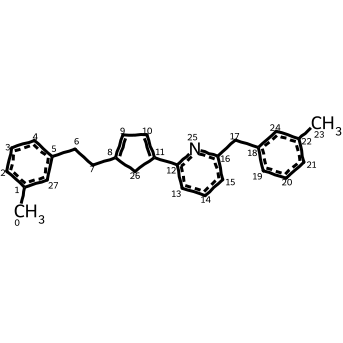 Cc1cccc(CCC2=CC=C(c3cccc(Cc4cccc(C)c4)n3)C2)c1